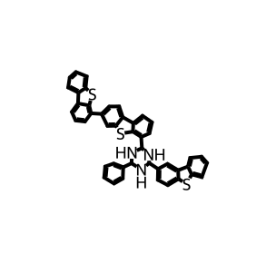 c1ccc(C2NC(c3ccc4sc5ccccc5c4c3)NC(c3cccc4c3sc3cc(-c5cccc6c5sc5ccccc56)ccc34)N2)cc1